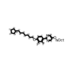 CCCCCCCCOc1cnc(-c2ccc(OCCCCCCCC3CCCC3)c(F)c2F)nc1